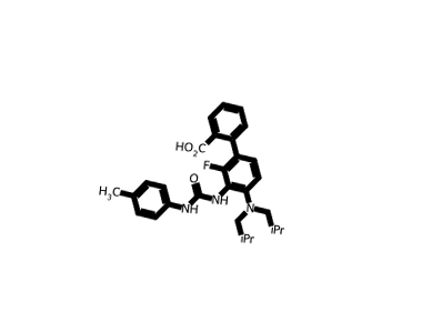 Cc1ccc(NC(=O)Nc2c(N(CC(C)C)CC(C)C)ccc(-c3ccccc3C(=O)O)c2F)cc1